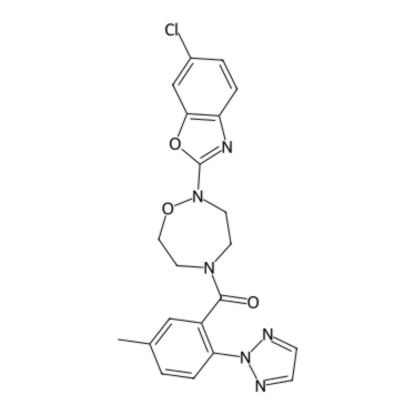 Cc1ccc(-n2nccn2)c(C(=O)N2CCON(c3nc4ccc(Cl)cc4o3)CC2)c1